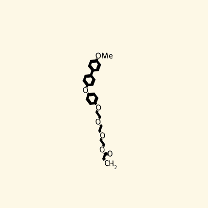 C=CC(=O)OCCOCCOCCOc1ccc(Oc2ccc(-c3ccc(OC)cc3)cc2)cc1